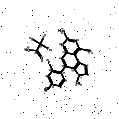 Cn1ccc2c3c(N)nc(N)nc3cc(-c3ccc(Br)cc3F)c21.O=C(O)C(F)(F)F